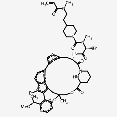 C=CC(=O)N(C)CCC1CCN(C(=O)N(C)[C@H](C(=O)N[C@H]2Cc3nc(cs3)-c3ccc4c(c3)c(c(-c3cccnc3[C@H](C)OC)n4CC)CC(C)(C)COC(=O)C3CCCN(N3)C2=O)C(C)C)CC1